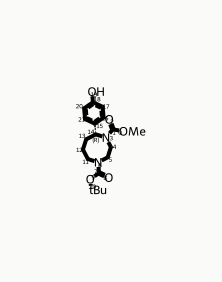 COC(=O)N1CCN(C(=O)OC(C)(C)C)CCC[C@@H]1c1ccc(O)cc1